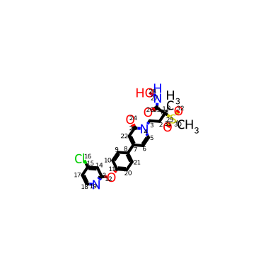 C[C@@](CCn1ccc(-c2ccc(Oc3cc(Cl)ccn3)cc2)cc1=O)(C(=O)NO)S(C)(=O)=O